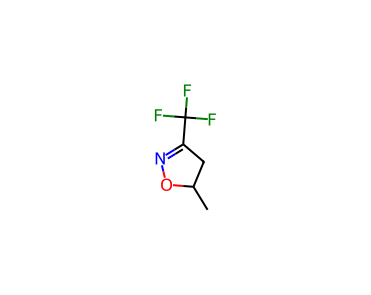 CC1CC(C(F)(F)F)=NO1